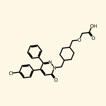 O=C(O)COCC1CCC(Cn2nc(-c3ccccc3)c(-c3ccc(Cl)cc3)cc2=O)CC1